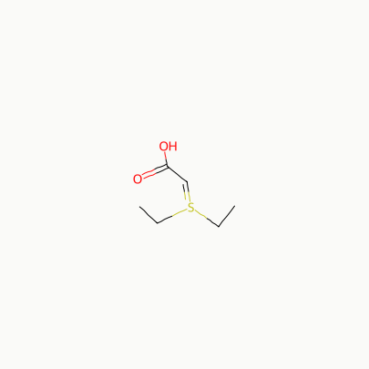 CCS(=CC(=O)O)CC